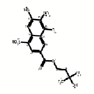 O=C(OCCC(O)(C(F)(F)F)C(F)(F)F)c1cc(S(=O)(=O)O)c2cc(O)c([N+](=O)[O-])c(Cl)c2c1